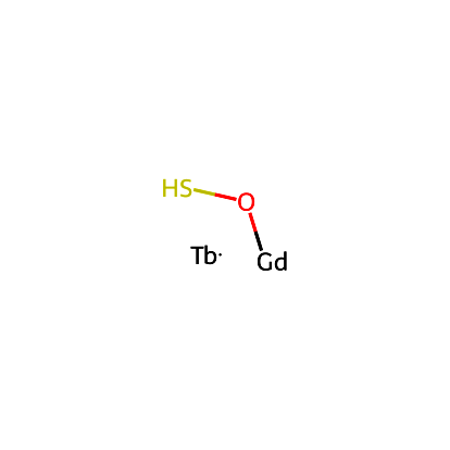 S[O][Gd].[Tb]